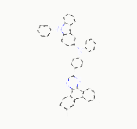 Cc1ccc2c(c1)c1cc(C)ccc1c1nc(-c3ccc(N(c4ccccc4)c4ccc5c(c4)c4ccccc4n5-c4ccccc4)cc3)cnc21